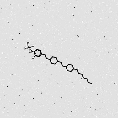 CCCCCCCC1CCC(CCC2CCC(CCc3ccc(OC(F)(F)F)c(F)c3)CC2)CC1